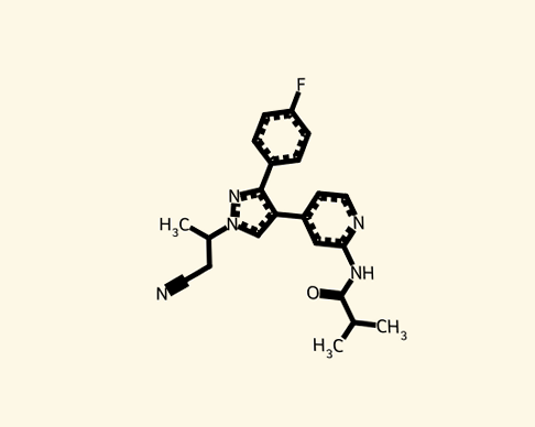 CC(C)C(=O)Nc1cc(-c2cn(C(C)CC#N)nc2-c2ccc(F)cc2)ccn1